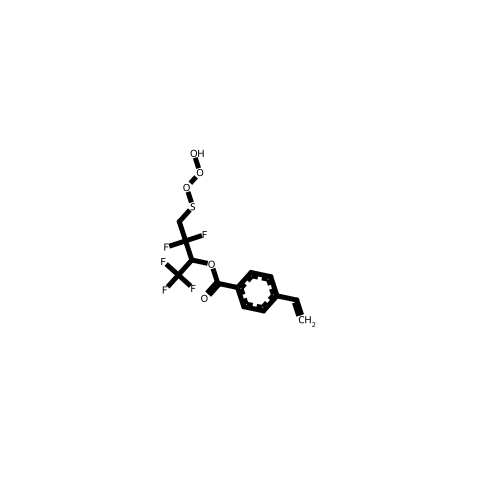 C=Cc1ccc(C(=O)OC(C(F)(F)F)C(F)(F)CSOOO)cc1